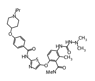 CNC(=O)c1c(Oc2cnc(NC(=O)c3ccc(OC4CCN(C(C)C)CC4)cc3)s2)ccc(NC(=O)NN(C)C)c1C